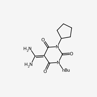 CCCCN1C(=O)C(=C(N)N)C(=O)N(C2CCCC2)C1=O